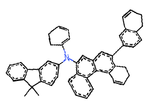 CC1(C)c2ccccc2-c2cc(N(C3=CC=CCC3)c3cc4cc(-c5ccc6c(c5)C=CCC6)c5c(c4c4ccccc34)C=CCC5)ccc21